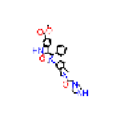 COC(=O)c1ccc2c(c1)NC(=O)/C2=C(/c1ccccc1)N(C)c1ccc2c(c1)CN(C(=O)CN1CCNCC1)C2